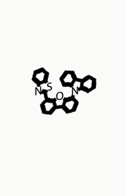 c1ccc2sc(-c3cccc4c3oc3c(-n5c6ccccc6c6ccccc65)cccc34)nc2c1